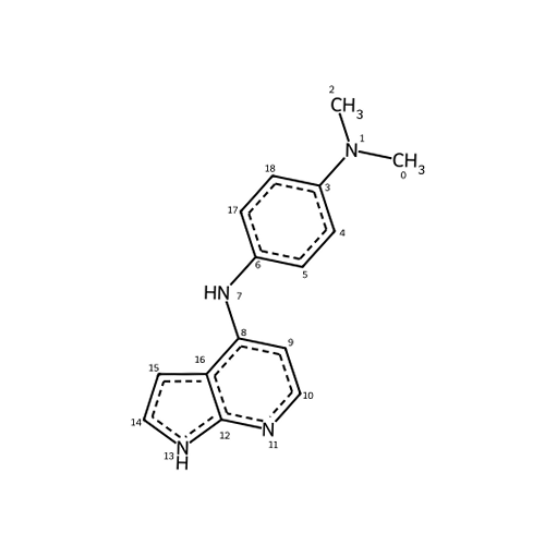 CN(C)c1ccc(Nc2ccnc3[nH]ccc23)cc1